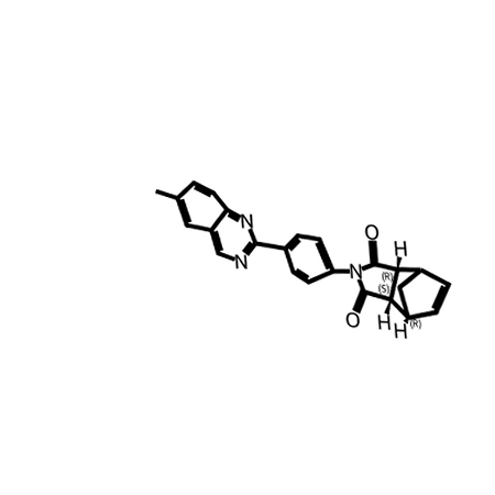 Cc1ccc2nc(-c3ccc(N4C(=O)[C@@H]5[C@H](C4=O)C4C=C[C@H]5C4)cc3)ncc2c1